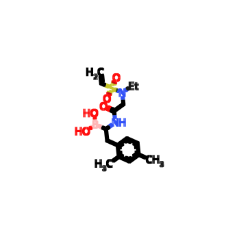 C=CS(=O)(=O)N(CC)CC(=O)NC(Cc1ccc(C)cc1C)B(O)O